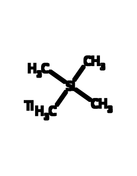 C[Si](C)(C)C.[Ti]